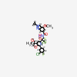 COc1cc(C(=O)NCC(O)(c2cc3c(c(-c4ccc(F)c(Cl)c4)n2)OC[C@]3(C)C=O)C(F)(F)F)cc2nn(C3CC3)cc12